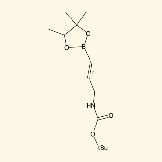 CC1OB(/C=C/CNC(=O)OC(C)(C)C)OC1(C)C